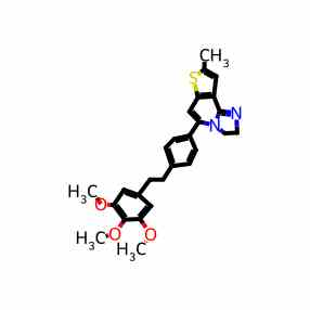 COc1cc(CCc2ccc(C3=Cc4sc(C)cc4C4=NCCN34)cc2)cc(OC)c1OC